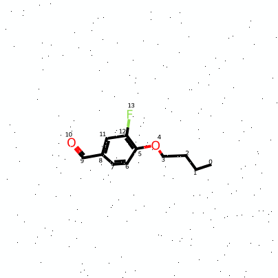 CCCCOc1ccc(C=O)cc1F